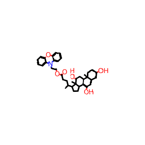 CC(CCC(=O)OCCN1c2ccccc2Oc2ccccc21)C1CCC2C3C(O)CC4CC(O)CCC4(C)C3CC(O)C12C